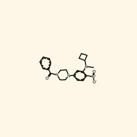 CN(c1cc(N2CCN(C(=O)c3ccccc3)CC2)ccc1[N+](=O)[O-])C1CCC1